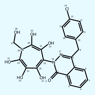 O=c1c2ccccc2c(Cc2ccc(Cl)cc2)nn1C1=C(O)C(O)=C(O)N(CO)C(O)=C1O